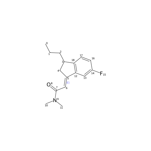 CCCC1C/C(=C\C(=O)N(C)C)c2cc(F)ccc21